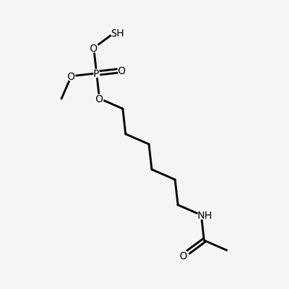 COP(=O)(OS)OCCCCCCNC(C)=O